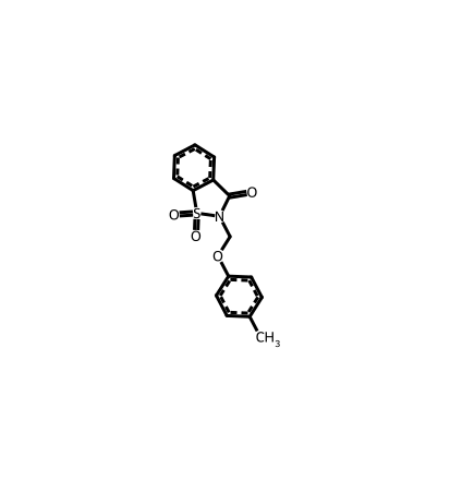 Cc1ccc(OCN2C(=O)c3ccccc3S2(=O)=O)cc1